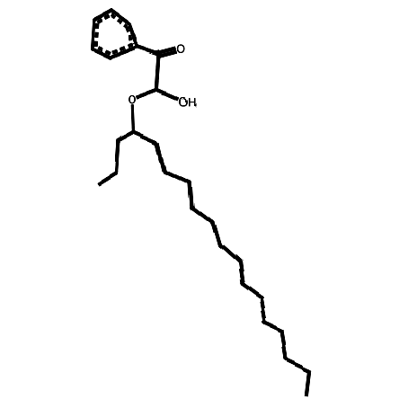 CCCCCCCCCCCCCCC(CCC)OC(O)C(=O)c1ccccc1